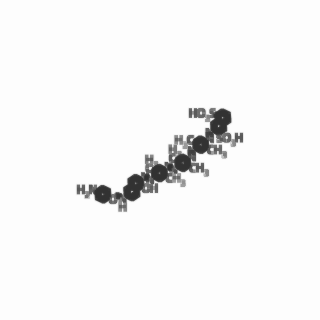 Cc1cc(N=Nc2cc(C)c(N=Nc3ccc4cc(NCOc5ccc(N)cc5)ccc4c3O)cc2C)c(C)cc1N=Nc1cc(C)c(N=Nc2cc3c(S(=O)(=O)O)cccc3cc2S(=O)(=O)O)cc1C